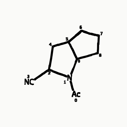 CC(=O)N1C(C#N)CC2CCCC21